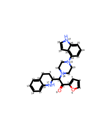 O=C(c1ccco1)C(C1CCc2ccccc2N1)N1CCN(c2cccc3[nH]ccc23)CC1